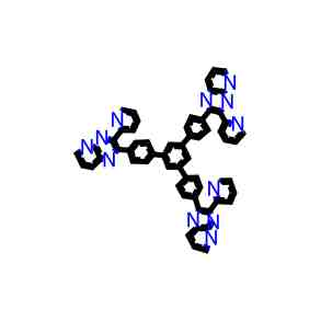 c1ccc(-c2nc3ncccc3nc2-c2ccc(-c3cc(-c4ccc(-c5nc6cccnc6nc5-c5ccccn5)cc4)cc(-c4ccc(-c5nc6cccnc6nc5-c5ccccn5)cc4)c3)cc2)nc1